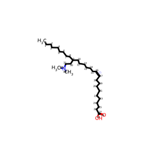 CCCCCCCCCC(CCCCCC/C=C\CCCCCCCCCC(=O)O)CCN(C)C